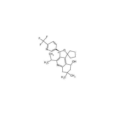 CC(C)c1nc2c(c3c1[C@@H](c1ccc(C(F)(F)F)nc1)OC31CCCC1)C(O)CC(C)(C)C2